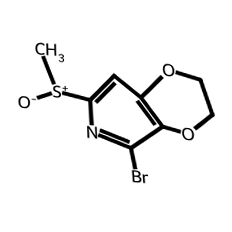 C[S+]([O-])c1cc2c(c(Br)n1)OCCO2